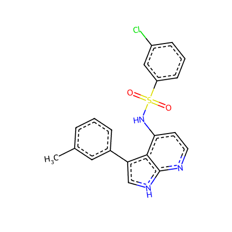 Cc1cccc(-c2c[nH]c3nccc(NS(=O)(=O)c4cccc(Cl)c4)c23)c1